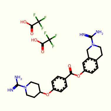 N=C(N)N1CCC(Oc2ccc(C(=O)Oc3ccc4c(c3)CN(C(=N)N)CC4)cc2)CC1.O=C(O)C(F)(F)F.O=C(O)C(F)(F)F